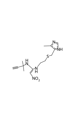 C#CC(C)(C)N/C(=C/[N+](=O)[O-])NCCSCc1[nH]cnc1C